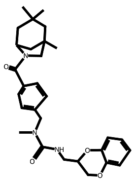 CN(Cc1ccc(C(=O)N2CC3(C)CC2CC(C)(C)C3)cc1)C(=O)NCC1COc2ccccc2O1